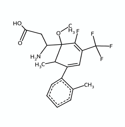 COC1(C(N)CC(=O)O)C(F)=C(C(F)(F)F)C=C(c2ccccc2C)C1C